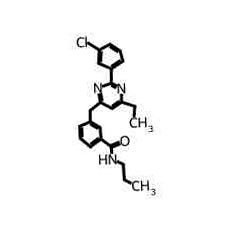 CCCNC(=O)c1cccc(Cc2cc(CC)nc(-c3cccc(Cl)c3)n2)c1